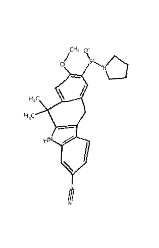 COc1cc2c(cc1[S+]([O-])N1CCCC1)Cc1c([nH]c3cc(C#N)ccc13)C2(C)C